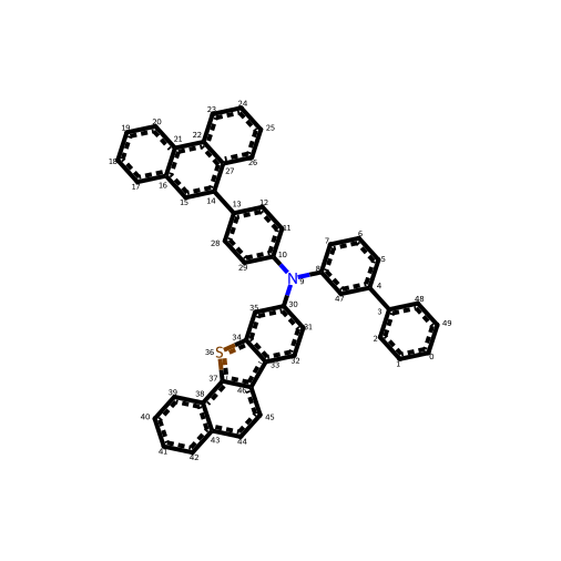 c1ccc(-c2cccc(N(c3ccc(-c4cc5ccccc5c5ccccc45)cc3)c3ccc4c(c3)sc3c5ccccc5ccc43)c2)cc1